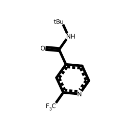 CC(C)(C)NC(=O)c1ccnc(C(F)(F)F)c1